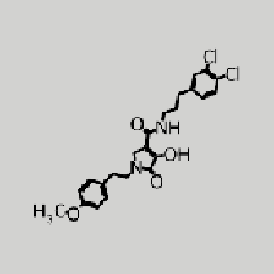 COc1ccc(CCN2CC(C(=O)NCCCc3ccc(Cl)c(Cl)c3)=C(O)C2=O)cc1